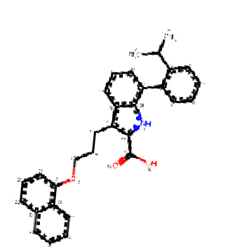 CC(C)c1ccccc1-c1cccc2c(CCCOc3cccc4ccccc34)c(C(=O)O)[nH]c12